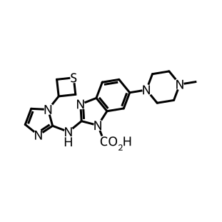 CN1CCN(c2ccc3nc(Nc4nccn4C4CSC4)n(C(=O)O)c3c2)CC1